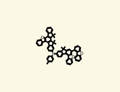 Cc1ccc(N(c2ccc3c(c2)C(C)(C)c2cc(-c4cccc5oc6ccccc6c45)c4oc5ccccc5c4c2-3)c2ccc3c(c2)C(C)(C)c2c4c(c5oc6ccccc6c5c2-3)-c2ccccc2C4(C)C)cc1